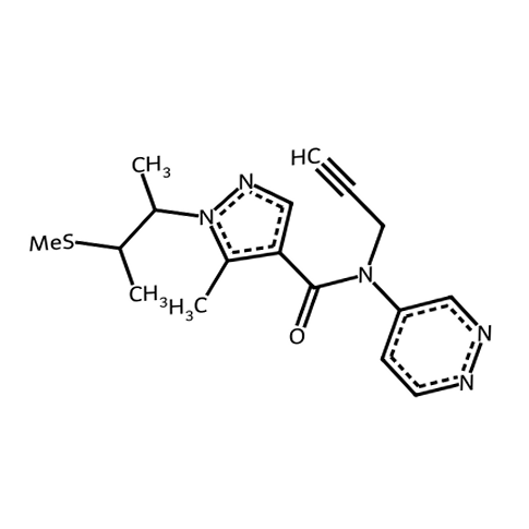 C#CCN(C(=O)c1cnn(C(C)C(C)SC)c1C)c1ccnnc1